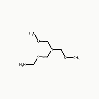 COCN(COC)CSCN